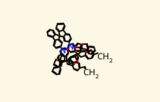 C=Cc1ccc(CC2(C3=CC=CCC3)c3ccccc3-c3ccc(N(c4ccc(-c5ccccc5)cc4)c4ccc5c(c4)C4(c6ccccc6-5)c5ccccc5-c5ccc(N(c6ccc(-c7ccccc7)cc6)c6ccc7c(c6)C(Cc6ccc(C=C)cc6)(c6ccccc6)c6ccccc6-7)cc54)cc32)cc1